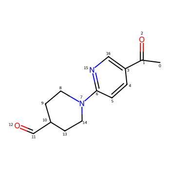 CC(=O)c1ccc(N2CCC(C=O)CC2)nc1